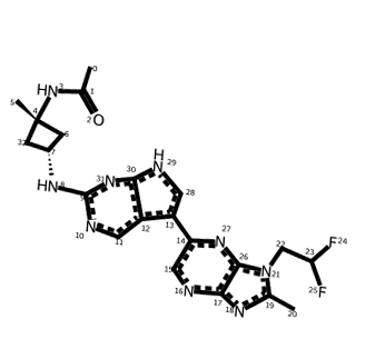 CC(=O)N[C@]1(C)C[C@H](Nc2ncc3c(-c4cnc5nc(C)n(CC(F)F)c5n4)c[nH]c3n2)C1